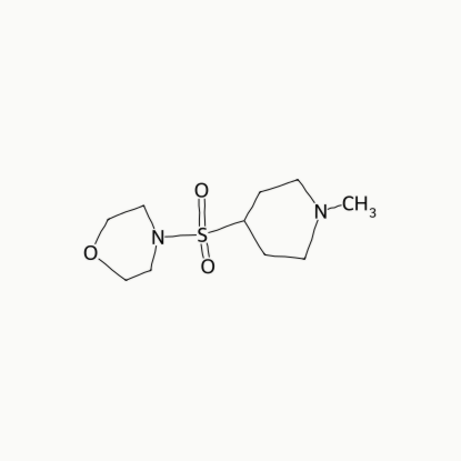 CN1CCC(S(=O)(=O)N2CCOCC2)CC1